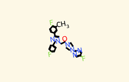 Cc1cc(-c2cn(CC(=O)N3CCN(c4ncc(F)cn4)CC3)c(-c3ccc(F)cc3)n2)ccc1F